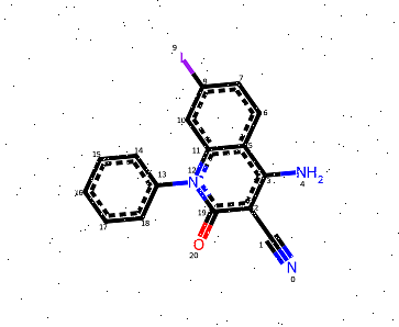 N#Cc1c(N)c2ccc(I)cc2n(-c2ccccc2)c1=O